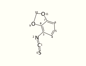 S=C=Nc1cccc2c1OCO2